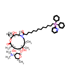 CC[C@H]1OC(=O)[C@H](C)[C@@H](O)C[C@@H](O[C@H]2C[C@@H](N(C)C)C[C@@H](C)O2)[C@](C)(O)C[C@@H](C)CN(C(=O)CCCCCCCCCCCC[PH](c2ccccc2)(c2ccccc2)c2ccccn2)[C@H](C)C[C@]1(C)O